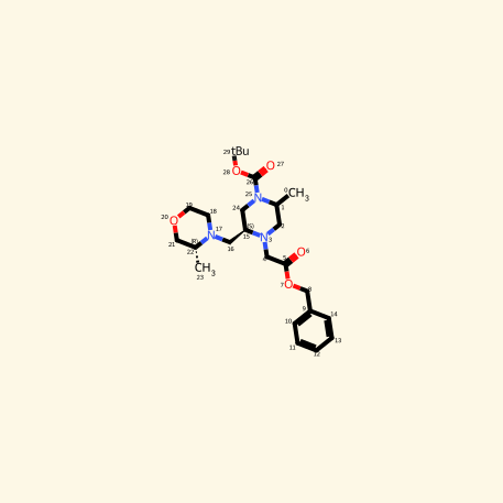 CC1CN(CC(=O)OCc2ccccc2)[C@@H](CN2CCOC[C@H]2C)CN1C(=O)OC(C)(C)C